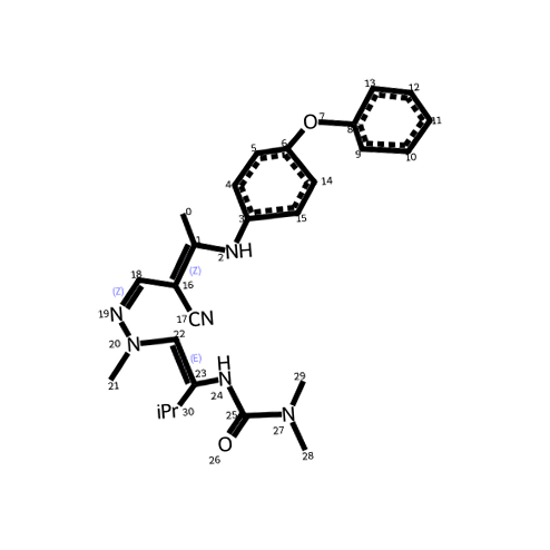 C/C(Nc1ccc(Oc2ccccc2)cc1)=C(C#N)\C=N/N(C)/C=C(/NC(=O)N(C)C)C(C)C